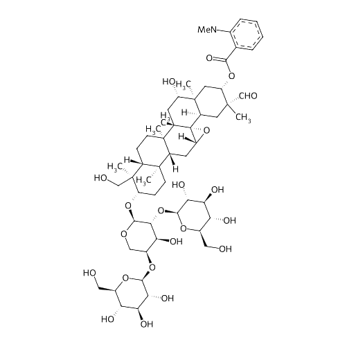 CNc1ccccc1C(=O)O[C@H]1C[C@@]2(C)[C@@H](C[C@@]1(C)C=O)[C@@]13O[C@@H]1C[C@@H]1[C@@]4(C)CC[C@H](O[C@@H]5OC[C@H](O[C@@H]6O[C@H](CO)[C@@H](O)[C@H](O)[C@H]6O)[C@H](O)[C@H]5O[C@@H]5O[C@H](CO)[C@@H](O)[C@H](O)[C@H]5O)[C@@](C)(CO)[C@@H]4CC[C@@]1(C)[C@]3(C)C[C@@H]2O